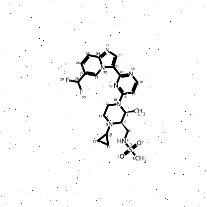 C[C@H]1[C@@H](CNS(C)(=O)=O)N(C2CC2)CCN1c1ccnc(-c2cnc3ccc(C(F)F)cn23)n1